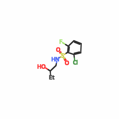 CCC(O)CNS(=O)(=O)c1c(F)cccc1Cl